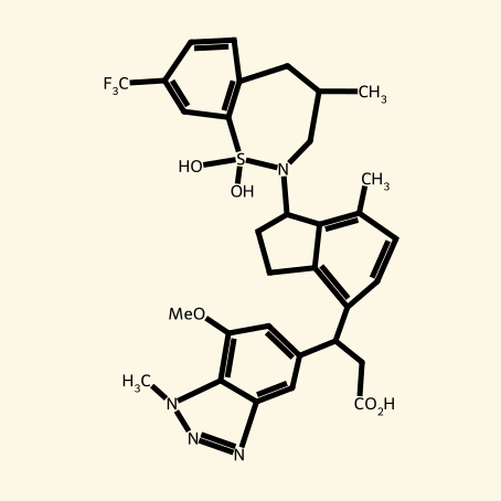 COc1cc(C(CC(=O)O)c2ccc(C)c3c2CCC3N2CC(C)Cc3ccc(C(F)(F)F)cc3S2(O)O)cc2nnn(C)c12